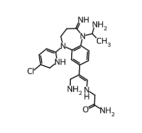 CC(N)N1C(=N)CCN(C2=CC=C(Cl)CN2)c2cc(/C(=C/NCC(N)=O)CN)ccc21